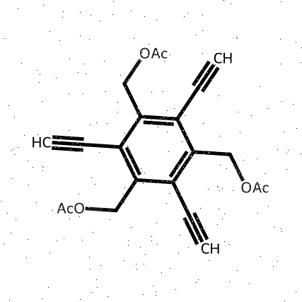 C#Cc1c(COC(C)=O)c(C#C)c(COC(C)=O)c(C#C)c1COC(C)=O